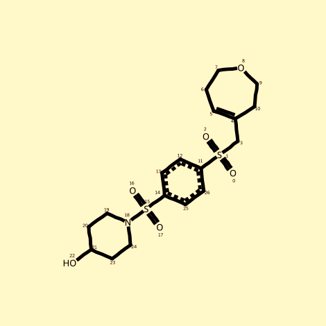 O=S(=O)(CC1=CCCOCC1)c1ccc(S(=O)(=O)N2CCC(O)CC2)cc1